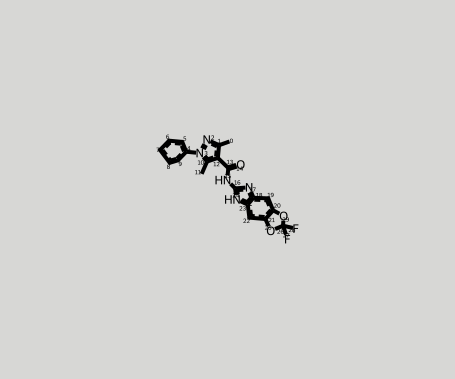 Cc1nn(-c2ccccc2)c(C)c1C(=O)Nc1nc2cc3c(cc2[nH]1)OC(F)(F)O3